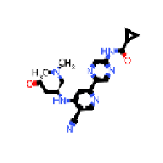 CN(C)C[C@H](CC=O)Nc1cc(-c2cnc(NC(=O)C3CC3)cn2)ncc1C#N